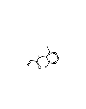 C=CC(=O)Oc1c(C)cccc1F